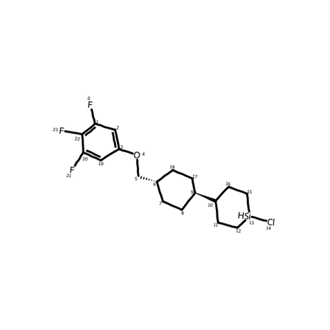 Fc1cc(OC[C@H]2CC[C@H](C3CC[SiH](Cl)CC3)CC2)cc(F)c1F